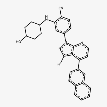 CC(C)c1nn(-c2ccc(C#N)c(NC3CCC(O)CC3)c2)c2nccc(-c3cnc4ccccc4c3)c12